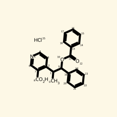 CC(c1ccncc1C(=O)O)C(OC(=O)c1ccccc1)c1ccccc1.Cl